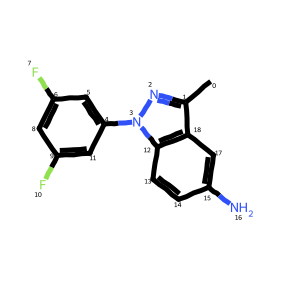 Cc1nn(-c2cc(F)cc(F)c2)c2ccc(N)cc12